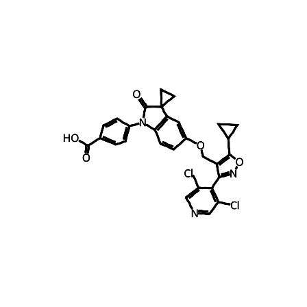 O=C(O)c1ccc(N2C(=O)C3(CC3)c3cc(OCc4c(-c5c(Cl)cncc5Cl)noc4C4CC4)ccc32)cc1